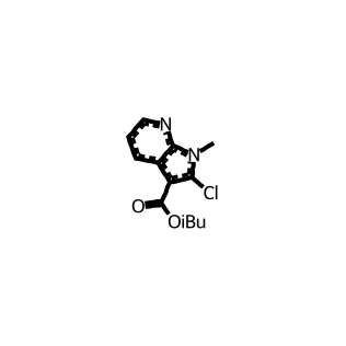 CC(C)COC(=O)c1c(Cl)n(C)c2ncccc12